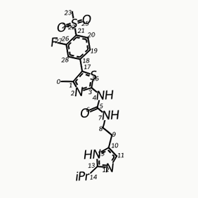 Cc1nc(NC(=O)NCCc2cnc(C(C)C)[nH]2)sc1-c1ccc(S(C)(=O)=O)c(F)c1